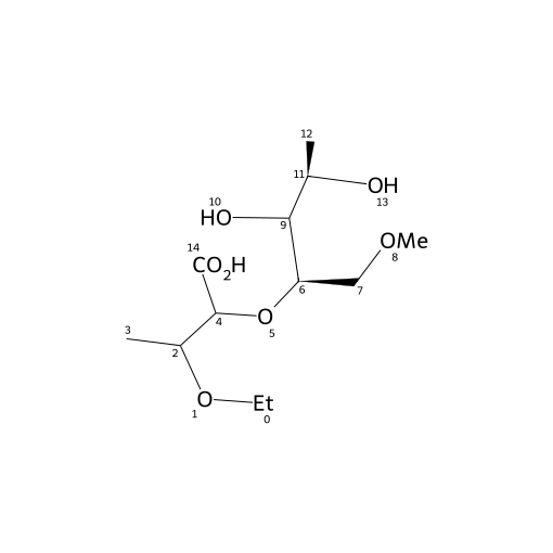 CCOC(C)C(O[C@H](COC)C(O)[C@@H](C)O)C(=O)O